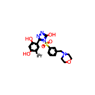 CC(C)c1cc(-c2nnc(O)n2S(=O)(=O)c2cccc(CN3CCOCC3)c2)c(O)cc1O